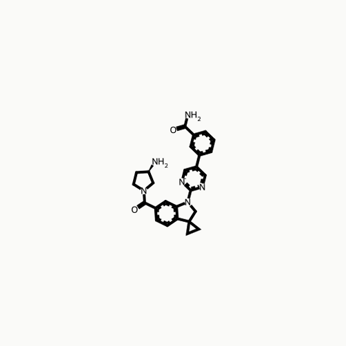 NC(=O)c1cccc(-c2cnc(N3CC4(CC4)c4ccc(C(=O)N5CC[C@@H](N)C5)cc43)nc2)c1